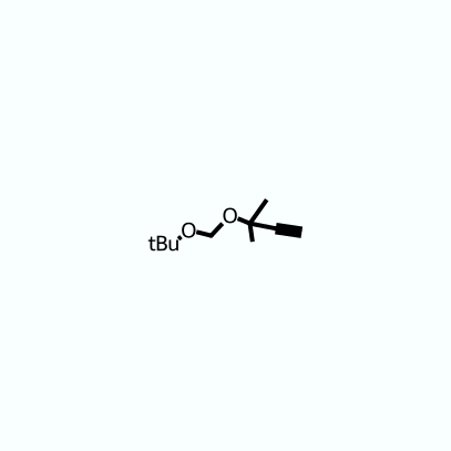 C#CC(C)(C)OCOC(C)(C)C